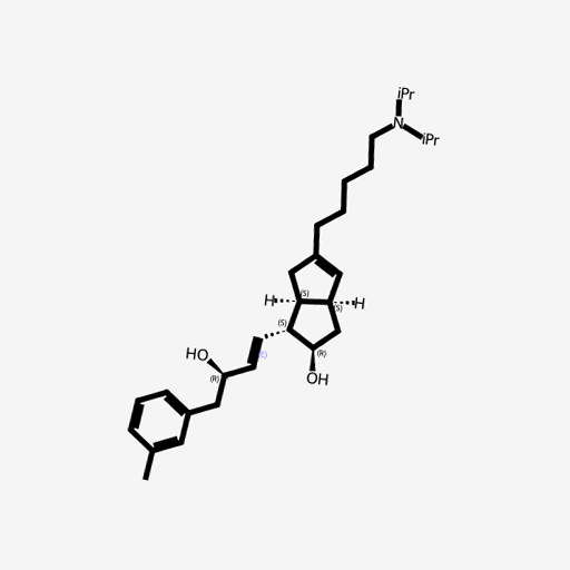 Cc1cccc(C[C@@H](O)/C=C/[C@@H]2[C@H]3CC(CCCCCN(C(C)C)C(C)C)=C[C@H]3C[C@H]2O)c1